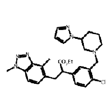 CCOC(=O)C(Cc1ccc2c(nnn2C)c1C)c1ccc(Cl)c(CN2CCCC(n3cccn3)C2)c1